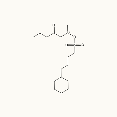 CCCC(=O)C[S+](C)OS(=O)(=O)CCCCC1CCCCC1